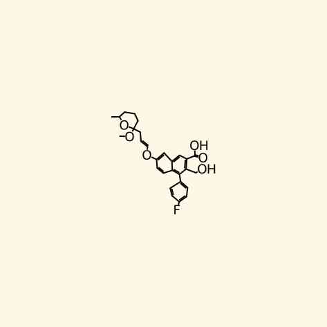 COC1(CC=COc2ccc3c(-c4ccc(F)cc4)c(CO)c(C(=O)O)cc3c2)CCCC(C)O1